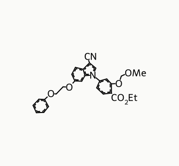 CCOC(=O)c1ccc(-n2cc(C#N)c3ccc(OCCOc4ccccc4)cc32)cc1OCOC